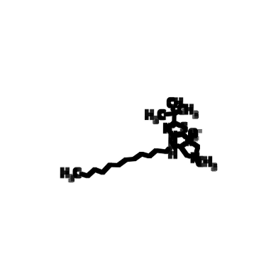 CCCCCCCCCCCCNC1CN(C)C[N+]1([O-])c1nnc(C(C)(C)C)s1